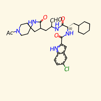 CC(=O)N1CCC2(CC1)CC(CC(C=O)NC(=O)[C@H](CC1CCCCC1)NC(=O)c1cc3cc(Cl)ccc3[nH]1)C(=O)N2